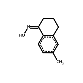 Cc1ccc2c(c1)CCC/C2=N/O